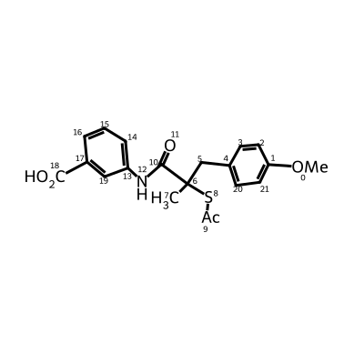 COc1ccc(CC(C)(SC(C)=O)C(=O)Nc2cccc(C(=O)O)c2)cc1